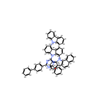 c1ccc(-c2ccc(-c3nc(-c4ccccc4)nc(-n4c5cccc(-n6c7ccccc7c7ccccc76)c5c5cccc(-n6c7ccccc7c7ccc8ccccc8c76)c54)n3)cc2)cc1